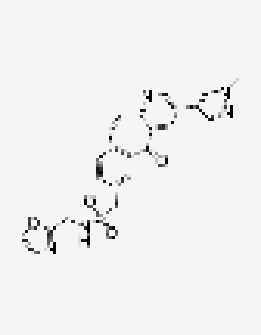 Cn1cc(-c2cnc3ccc4ccc(CS(=O)(=O)NCc5ncco5)cc4c(=O)c3c2)cn1